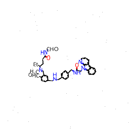 CCC(CCC(=O)NC=O)N(C)Cc1cc(CNCc2ccc(CNC(=O)Cn3c4ccccc4c4cccnc43)cc2)ccc1C=O